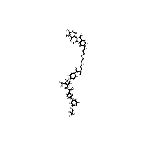 CN(CCOCCOCCCc1ccc2c(c1)C(=O)N(C1CCC(=O)NC1=O)C2=O)C(=O)c1ccc(-n2cc(NC(=O)c3coc(-c4ccnc(NCC(F)(F)F)c4)n3)c(C(F)F)n2)cc1